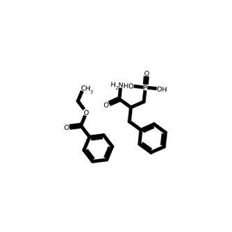 CCOC(=O)c1ccccc1.NC(=O)C(Cc1ccccc1)CP(=O)(O)O